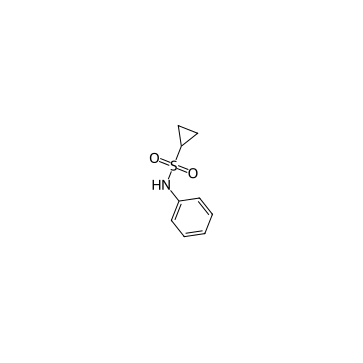 O=S(=O)(Nc1ccccc1)C1CC1